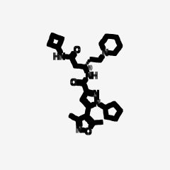 Cc1noc(C)c1-c1cc(C(=O)N[C@@H](CCN2CCCCC2)CC(=O)NC2CCC2)nn1C1CCCC1